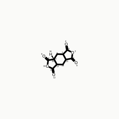 O=C1OC(=O)C2C[C@H]3C(=O)OC(=O)C3CC12